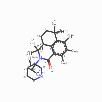 [2H]c1c([2H])c2c3c(c1[2H])C([2H])([2H])CC[C@@H]3C([2H])([2H])N([C@@H]1CN3CCC1CC3)C2=O